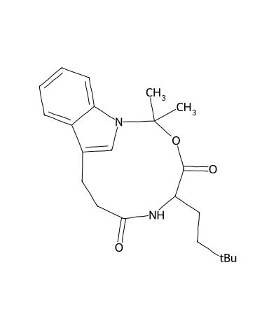 CC(C)(C)CCC1NC(=O)CCc2cn(c3ccccc23)C(C)(C)OC1=O